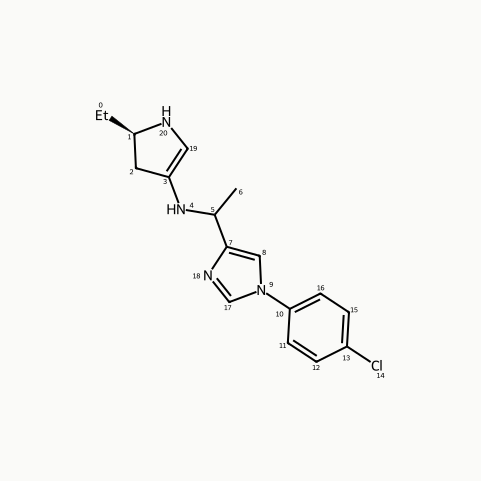 CC[C@@H]1CC(NC(C)c2cn(-c3ccc(Cl)cc3)cn2)=CN1